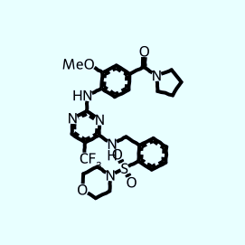 COc1cc(C(=O)N2CCCC2)ccc1Nc1ncc(C(F)(F)F)c(NCc2ccccc2S(=O)(=O)N2CCOCC2)n1